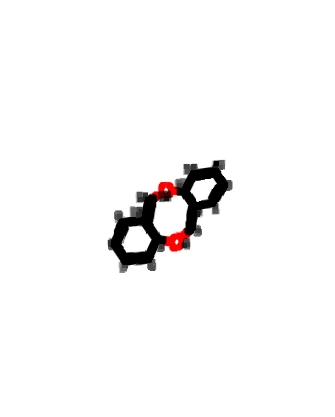 C1=C/C2=C/OC3C=CC=C/C3=C/OC2C=C1